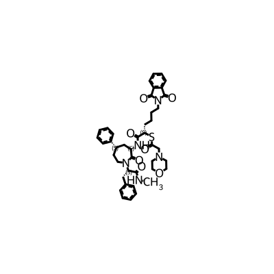 CNC(=O)[C@H](Cc1ccccc1)N1CC[C@H](c2ccccc2)C[C@H](NC(=O)[C@H](CCCCN2C(=O)c3ccccc3C2=O)SC(=O)CN2CCOCC2)C1=O